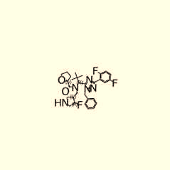 CC(C)(C)[C@H](c1nc(-c2cc(F)ccc2F)nn1Cc1ccccc1)N(C[C@@H]1CNC[C@@H]1F)C(=O)[C@@H]1CCCO1